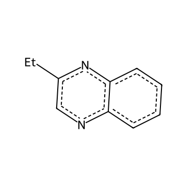 [CH2]Cc1cnc2ccccc2n1